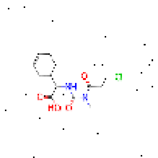 CN(C(=O)CCCl)C(=O)NC(C(=O)O)C1CC=CCC1